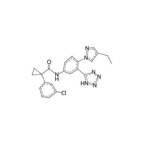 CCc1cnn(-c2ccc(NC(=O)C3(c4cccc(Cl)c4)CC3)cc2-c2nnn[nH]2)c1